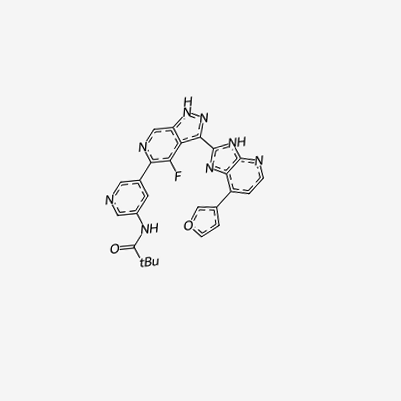 CC(C)(C)C(=O)Nc1cncc(-c2ncc3[nH]nc(-c4nc5c(-c6ccoc6)ccnc5[nH]4)c3c2F)c1